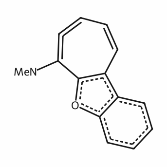 CNC1=C=CC=Cc2c1oc1ccccc21